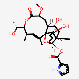 CO[C@H]1C[C@H]2[C@H](O)C[C@H]3[C@H]4O[C@]2(/C(C)=C/[C@@H](C)[C@@H]([C@@H](C)O)OC1=O)[C@@H]3[C@H](O)[C@@H](C)[C@H]4OC(=O)c1ccc[nH]1